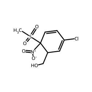 CS(=O)(=O)C1([N+](=O)[O-])C=CC(Cl)=CC1CO